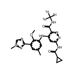 [2H]C([2H])([2H])NC(=O)c1nnc(NC(=O)C2CC2)cc1Nc1cc(C)cc(-c2ncn(C)n2)c1OC